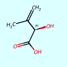 C=C(C)[C@@H](O)C(=O)O